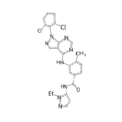 CCn1nccc1NC(=O)c1ccc(C)c(Nc2ncnc3c2cnn3-c2c(Cl)cccc2Cl)c1